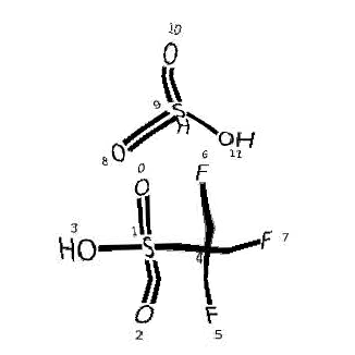 O=S(=O)(O)C(F)(F)F.O=[SH](=O)O